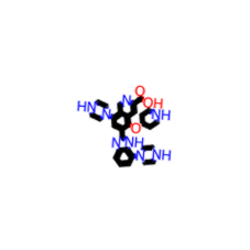 O=C(O)c1cc2c(OC3CCNCC3)c(-c3nc4cccc(N5CCNCC5)c4[nH]3)cc(N3CCNCC3)c2cn1